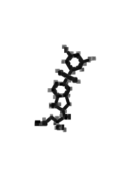 COC[C@@H](C)NN1Cc2cc(S(=O)(=O)c3cc(F)cc(F)c3)ccc2N1